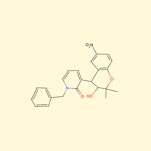 CC1(C)Oc2ccc([N+](=O)[O-])cc2C(c2cccn(Cc3ccccc3)c2=O)C1O